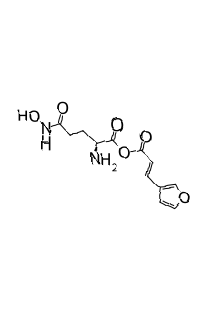 N[C@@H](CCC(=O)NO)C(=O)OC(=O)/C=C/c1ccoc1